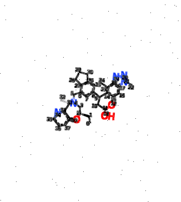 CC[C@@H]1CN(Cc2cc(C(CC(=O)O)c3ccc4c(nnn4C)c3C)cc3c2CCC3)[C@@H](C)c2ncccc2O1